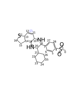 CS(=O)(=O)c1ccc(C2NC(/C=C\C3CCCS3)CNC2C2CCCCC2)cc1